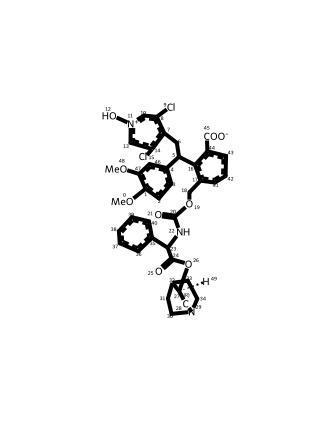 COc1ccc(C(Cc2c(Cl)c[n+](O)cc2Cl)c2c(COC(=O)NC(C(=O)O[C@H]3CN4CCC3CC4)c3ccccc3)cccc2C(=O)[O-])cc1OC